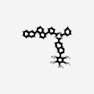 Bc1c(B)c(B)c(-c2ccc3cc(-c4nc(-c5ccccc5)nc(-c5cccc(-c6cccc7c(-c8ccc9ccccc9c8)cccc67)c5)n4)ccc3c2)c(B)c1B